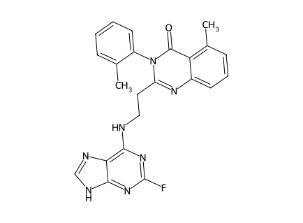 Cc1ccccc1-n1c(CCNc2nc(F)nc3[nH]cnc23)nc2cccc(C)c2c1=O